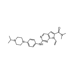 C=Cn1c(C(=O)N(C)C)cc2cnc(Nc3ccc(N4CCN(C(C)C)CC4)cc3)nc21